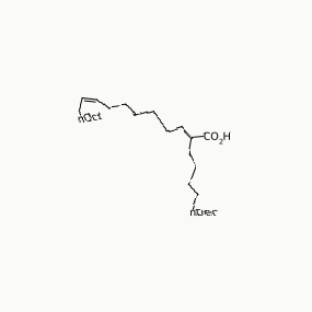 CCCCCCCC/C=C\CCCCCCC(CCCCCCCCCCCCCC)C(=O)O